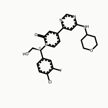 O=c1cc(-c2cc(NC3CCOCC3)ncn2)ccn1[C@H](CO)c1ccc(Cl)c(F)c1